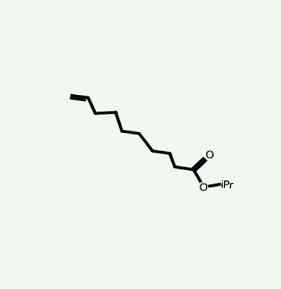 C=CCCCCCCCC(=O)OC(C)C